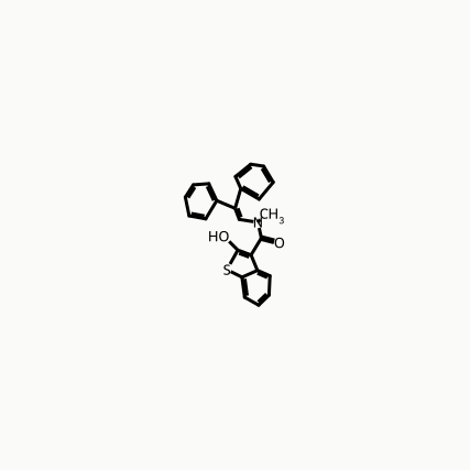 CN(C=C(c1ccccc1)c1ccccc1)C(=O)c1c(O)sc2ccccc12